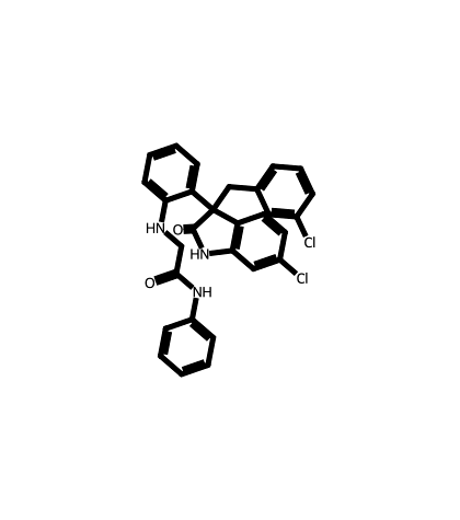 O=C(CNc1ccccc1C1(Cc2cccc(Cl)c2)C(=O)Nc2cc(Cl)ccc21)Nc1ccccc1